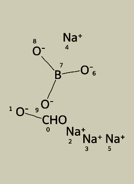 O=C[O-].[Na+].[Na+].[Na+].[Na+].[O-]B([O-])[O-]